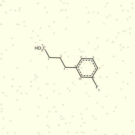 O=C(O)CCCc1c[c]cc(F)c1